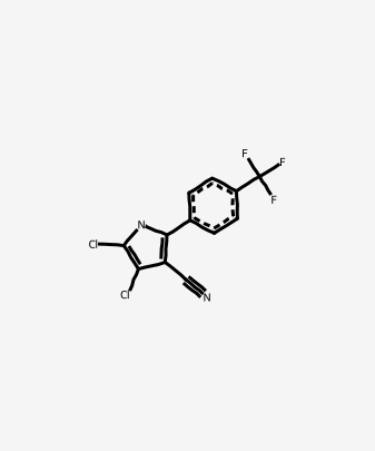 N#CC1=C(c2ccc(C(F)(F)F)cc2)[N]C(Cl)=C1Cl